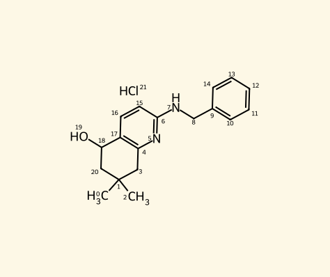 CC1(C)Cc2nc(NCc3ccccc3)ccc2C(O)C1.Cl